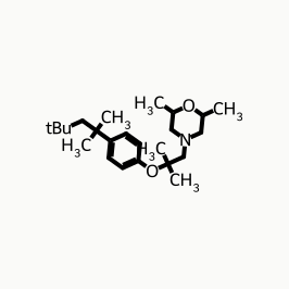 CC1CN(CC(C)(C)Oc2ccc(C(C)(C)CC(C)(C)C)cc2)CC(C)O1